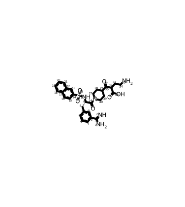 N=C(N)c1cccc(C[C@H](NS(=O)(=O)c2ccc3ccccc3c2)C(=O)N2CCC(C(=O)C(CCN)C(=O)O)CC2)c1